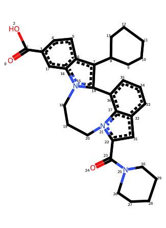 O=C(O)c1ccc2c(C3CCCCC3)c3n(c2c1)CCCn1c(C(=O)N2CCCCC2)cc2cccc-3c21